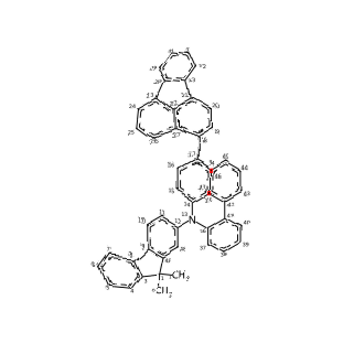 CC1(C)c2ccccc2-c2ccc(N(c3ccc(-c4ccc5c6c(cccc46)-c4ccccc4-5)cc3)c3ccccc3-c3ccccc3)cc21